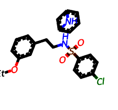 CCOc1cccc(CCNS(=O)(=O)c2ccc(Cl)cc2)c1.c1cc2cc(c1)N2